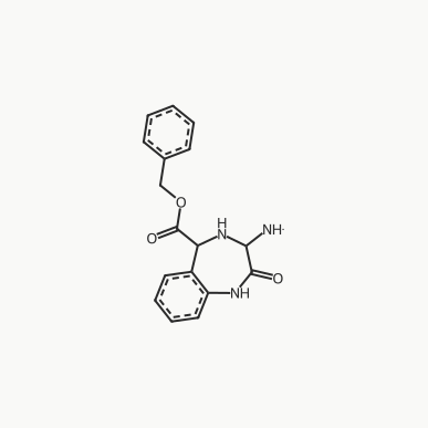 [NH]C1NC(C(=O)OCc2ccccc2)c2ccccc2NC1=O